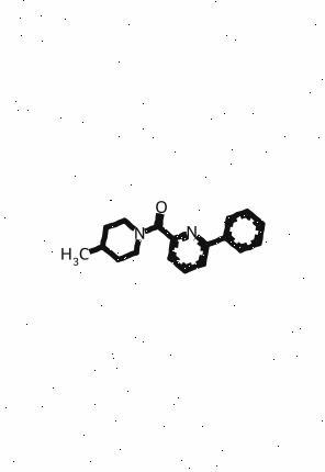 CC1CCN(C(=O)c2cccc(-c3ccccc3)n2)CC1